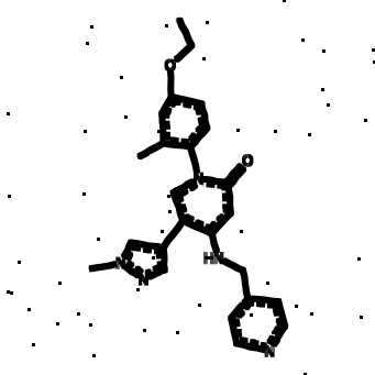 CCOc1ccc(-n2cc(-c3cnn(C)c3)c(NCc3ccncc3)cc2=O)c(C)c1